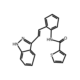 O=C(Nc1ccccc1C=Cc1n[nH]c2ccccc12)c1cccs1